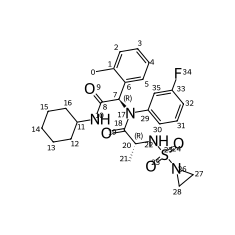 Cc1ccccc1[C@H](C(=O)NC1CCCCC1)N(C(=O)[C@@H](C)NS(=O)(=O)N1CC1)c1cccc(F)c1